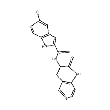 O=C(NC1Cc2cnccc2NC1=O)c1cc2cc(Cl)ncc2[nH]1